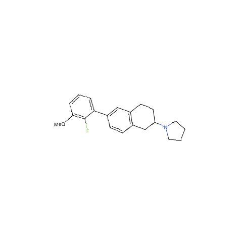 COc1cccc(-c2ccc3c(c2)CCC(N2CCCC2)C3)c1F